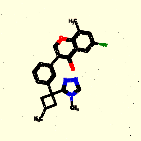 Cc1cc(Br)cc2c(=O)c(-c3cccc(C4(c5nncn5C)CC(C)C4)c3)coc12